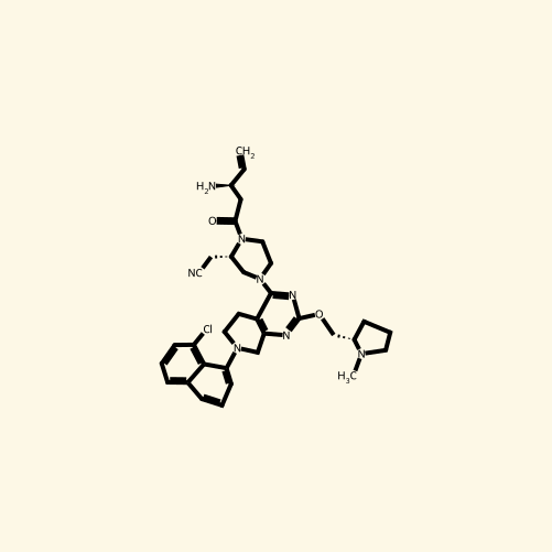 C=C[C@H](N)CC(=O)N1CCN(c2nc(OC[C@@H]3CCCN3C)nc3c2CCN(c2cccc4cccc(Cl)c24)C3)C[C@@H]1CC#N